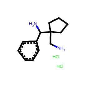 Cl.Cl.NCC1(C(N)c2ccccc2)CCCC1